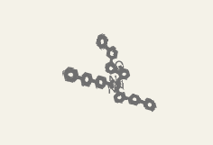 c1ccc(-c2ccc(-c3ccc(-c4nc(-c5cccc(-c6ccc(-c7ccccc7)cc6)c5)nc(-c5cccc6oc7c(-c8cccc(-c9ccccc9)c8)cccc7c56)n4)cc3)cc2)cc1